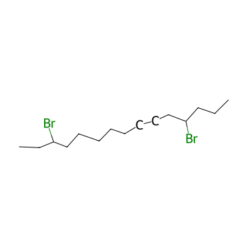 CCCC(Br)CCCCCCCCC(Br)CC